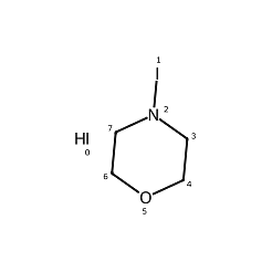 I.IN1CCOCC1